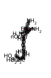 CCCCCCCCN(CCCC(C)C1CC[C@H]2C3[C@H](OCCCN)CC(CCOCCCN)[C@](C)(CC)[C@H]3C[C@H](OCCCN)[C@]12C)C(=O)NCCOCCOCCOCCNC(=O)CNCCN(CCN(CCNCC(=O)O)CC(=O)O)CC(=O)O